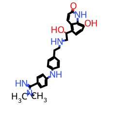 CN(C)C(=N)c1ccc(Nc2ccc(CCNC[C@@H](O)c3ccc(O)c4[nH]c(=O)ccc34)cc2)cc1